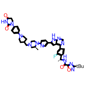 C[C@@H](NC(=O)c1nc(C(C)(C)C)no1)c1ccc(-c2ncnc3[nH]c(-c4ccc(N5CCN(CC6CCN(c7ccc(N8CCC(=O)NC8=O)cc7)CC6)C[C@@H]5C)nc4)cc23)cc1F